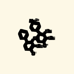 CC(C)(C)c1c([O-])ccc(-c2ccccc2)c1C(C)(C)C.CC(C)(C)c1c([O-])ccc(-c2ccccc2)c1C(C)(C)C.[Mg+2]